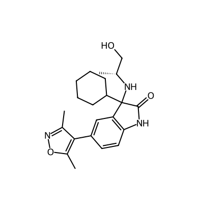 Cc1noc(C)c1-c1ccc2c(c1)C(N[C@H](C)CO)(C1CCCCC1)C(=O)N2